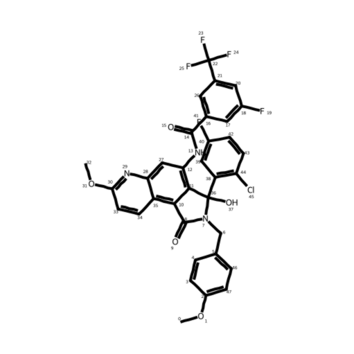 COc1ccc(CN2C(=O)c3c(c(NC(=O)c4cc(F)cc(C(F)(F)F)c4)cc4nc(OC)ccc34)C2(O)c2cc(F)ccc2Cl)cc1